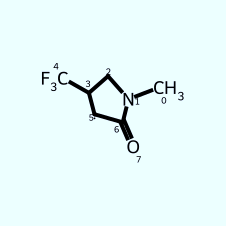 CN1CC(C(F)(F)F)[CH]C1=O